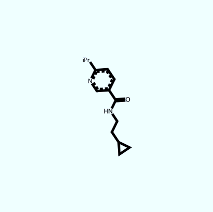 CC(C)c1ccc(C(=O)NCCC2CC2)cn1